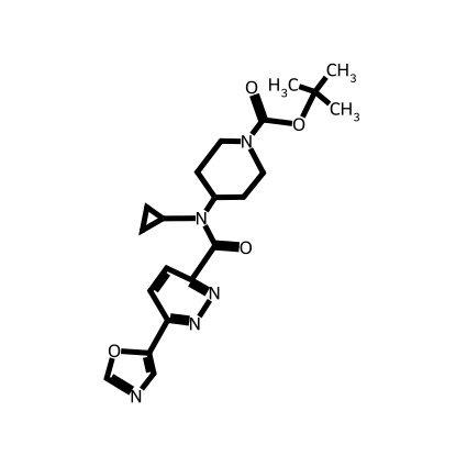 CC(C)(C)OC(=O)N1CCC(N(C(=O)c2ccc(-c3cnco3)nn2)C2CC2)CC1